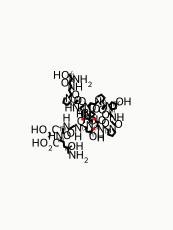 CC[C@H](C)[C@H](NC(=O)[C@@H]1CCCN1C(=O)CNC(=O)[C@@H](N)[C@@H](C)O)C(=O)NCC(=O)N1CCC[C@H]1C(=O)N1C[C@H](O)C[C@H]1C(=O)NCC(=O)N1CCC[C@H]1C(=O)N[C@@H](C)C(=O)NCC(=O)N[C@@H](C)C(=O)N1C[C@H](O)C[C@H]1C(=O)NCC(=O)N[C@@H](CC(=O)O)C(=O)N[C@@H](CC[C@@H](O)CN)C(=O)O